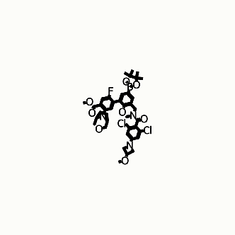 COC(=O)c1cc(F)c(-c2cc(B3OC(C)(C)C(C)(C)O3)cc3c2OCN(C(=O)c2c(Cl)cc(N4CC(OC)C4)cc2Cl)C3)cc1N1C2CCC1COC2